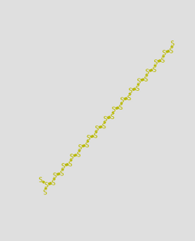 S=S=S=S=S=S=S=S=S=S=S=S=S=S=S=S=S=S=S=S=S=S=S=S=S=S=S=S=S=S=S(=S)=S